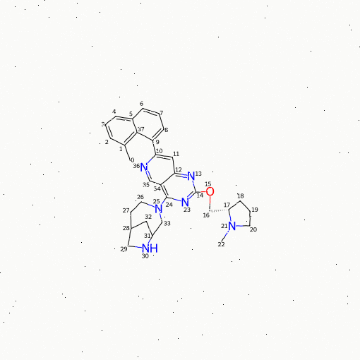 Cc1cccc2cccc(-c3cc4nc(OC[C@@H]5CCCN5C)nc(N5CCC6CNC(C6)C5)c4cn3)c12